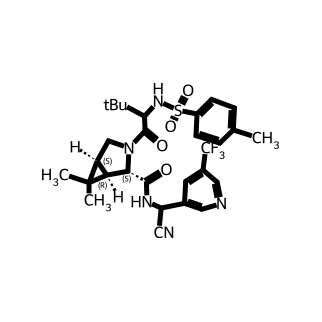 Cc1ccc(S(=O)(=O)NC(C(=O)N2C[C@H]3[C@@H]([C@H]2C(=O)NC(C#N)c2cncc(C(F)(F)F)c2)C3(C)C)C(C)(C)C)cc1